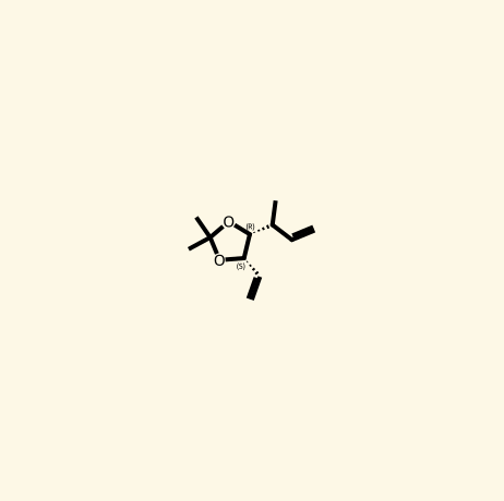 C=CC(C)[C@H]1OC(C)(C)O[C@H]1C=C